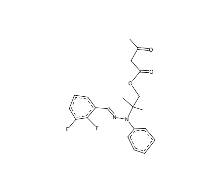 CC(=O)CC(=O)OCC(C)(C)N(N=Cc1cccc(F)c1F)c1ccccc1